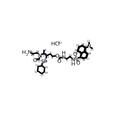 C/C(=C(\CCOC(=O)NCCNS(=O)(=O)c1cccc2c(N(C)C)cccc12)SSC1CCCCC1)N(C=O)CCN.Cl